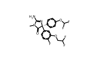 CN1C(=O)[C@](c2ccc(OC(F)F)cc2)(c2ccc(F)c(OCC(F)F)c2)N=C1N